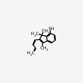 C=C/C=C\C1=C(C)c2cccc(S)c2C1(C)C